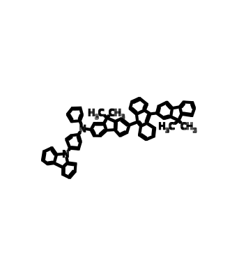 CC1(C)c2ccccc2-c2ccc(-c3c4ccccc4c(-c4ccc5c(c4)C(C)(C)c4cc(N(c6ccccc6)c6ccc(-n7c8ccccc8c8ccccc87)cc6)ccc4-5)c4ccccc34)cc21